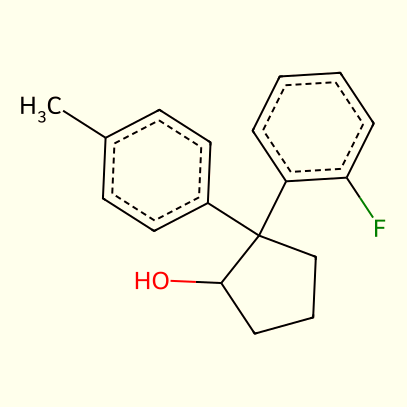 Cc1ccc(C2(c3ccccc3F)CCCC2O)cc1